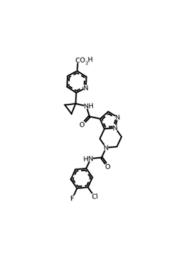 O=C(O)c1ccc(C2(NC(=O)c3cnn4c3CN(C(=O)Nc3ccc(F)c(Cl)c3)CC4)CC2)nc1